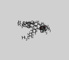 Cc1ccc(-c2ccc(C3CC4(C)C(CC[C@@]4(C)C(C)(F)C(C)(F)F)C4CC[C@@]5(O)CC6(CCC5=C34)OCC(C)(C)CO6)cc2)cc1